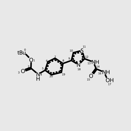 CC(C)(C)OC(=O)Nc1ccc(-c2csc(NC(=O)NO)n2)cc1